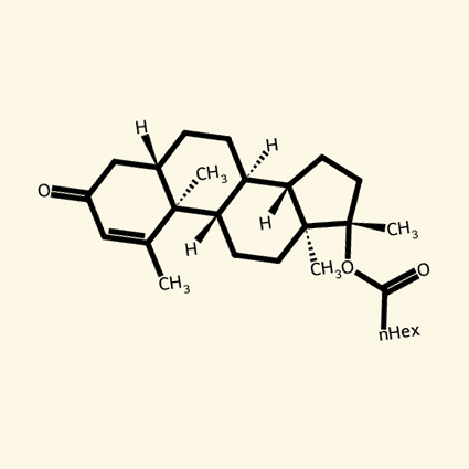 CCCCCCC(=O)O[C@@]1(C)CC[C@H]2[C@@H]3CC[C@H]4CC(=O)C=C(C)[C@]4(C)[C@H]3CC[C@@]21C